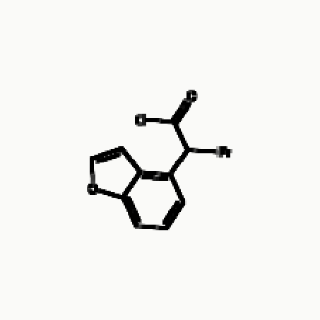 CC(C)C(C(=O)Cl)c1cccc2occc12